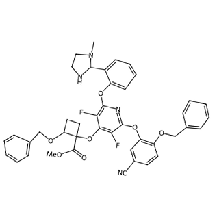 COC(=O)C1(Oc2c(F)c(Oc3cc(C#N)ccc3OCc3ccccc3)nc(Oc3ccccc3C3NCCN3C)c2F)CCC1OCc1ccccc1